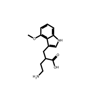 COc1cccc2[nH]cc(CC(CCN)C(=O)O)c12